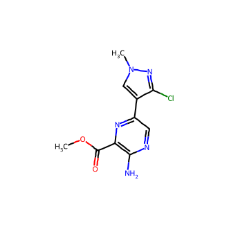 COC(=O)c1nc(-c2cn(C)nc2Cl)cnc1N